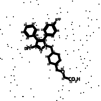 CCCc1nn(CC2CCC(COCC(=O)O)CC2)c(-c2ccc(F)cc2)c1-c1ccccc1